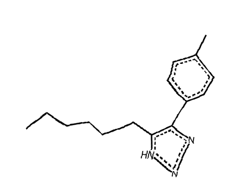 CCCCCCc1[nH]nnc1-c1ccc(C)cc1